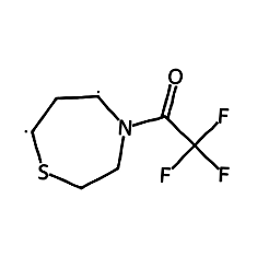 O=C(N1[CH]C[CH]SCC1)C(F)(F)F